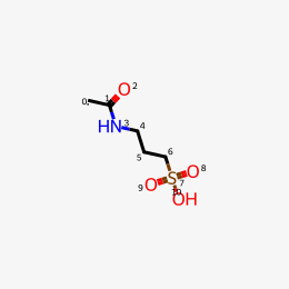 [CH2]C(=O)NCCCS(=O)(=O)O